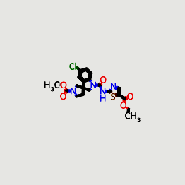 CCOC(=O)c1cnc(NC(=O)N2CC3(CCN(C(=O)OC)C3)c3cc(Cl)ccc32)s1